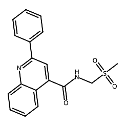 CS(=O)(=O)CNC(=O)c1cc(-c2ccccc2)nc2ccccc12